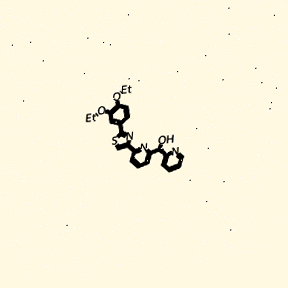 CCOc1ccc(-c2nc(-c3cccc(C(O)c4ccccn4)n3)cs2)cc1OCC